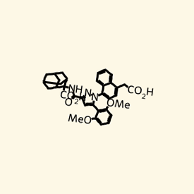 COc1cccc(OC)c1-c1cc(C(=O)NC2(C(=O)O)C3CC4CC(C3)CC2C4)nn1-c1ccc(CC(=O)O)c2ccccc12